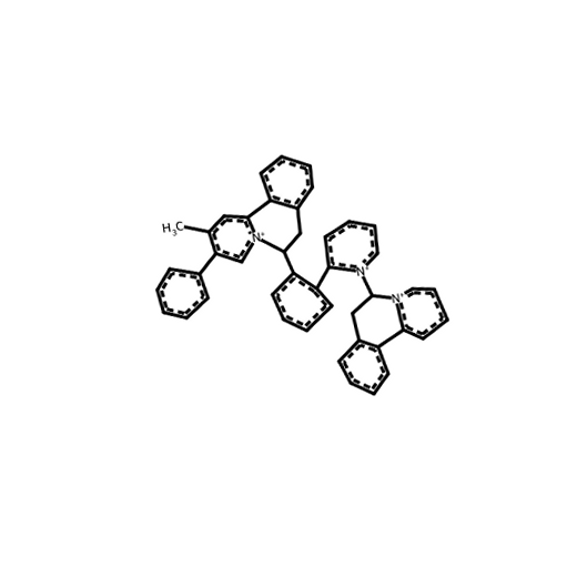 Cc1cc2[n+](cc1-c1ccccc1)C(c1ccccc1-c1cccc[n+]1C1Cc3ccccc3-c3cccc[n+]31)Cc1ccccc1-2